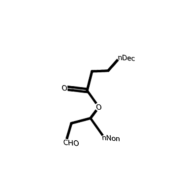 CCCCCCCCCCCCC(=O)OC(CC=O)CCCCCCCCC